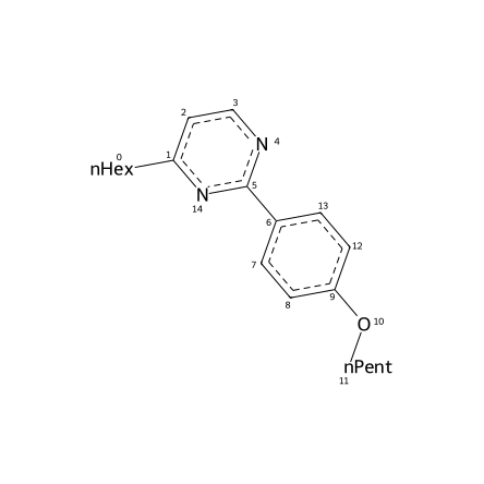 CCCCCCc1ccnc(-c2ccc(OCCCCC)cc2)n1